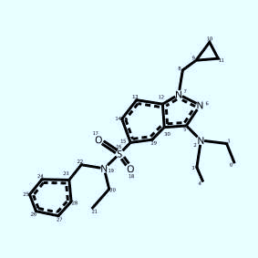 CCN(CC)c1nn(CC2CC2)c2ccc(S(=O)(=O)N(CC)Cc3ccccc3)cc12